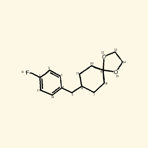 Fc1ccc(CC2CCC3(CC2)OCCO3)cc1